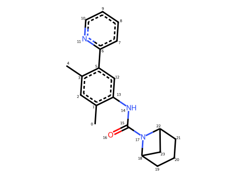 Cc1cc(C)c(-c2ccccn2)cc1NC(=O)N1C2CCCC1C2